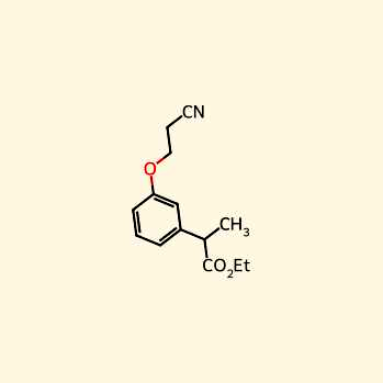 CCOC(=O)C(C)c1cccc(OCCC#N)c1